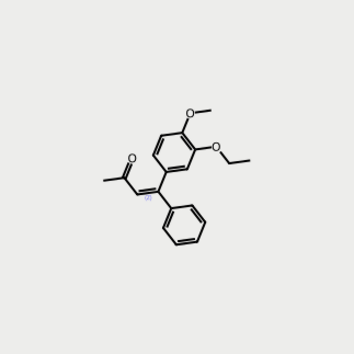 CCOc1cc(/C(=C\C(C)=O)c2ccccc2)ccc1OC